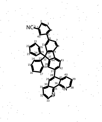 N#Cc1cccc(-c2ccc3c(c2)C(c2ccccc2)(c2ccccc2)c2cc(-c4cc5cccnc5c5ncccc45)ccc2-3)c1